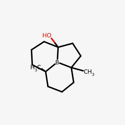 CC12CCCC3(C)CCC(O)(CCC1)B23